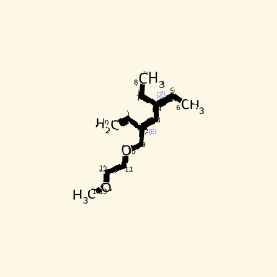 C=C/C(=C\C(=C/C)CC)COCCOC